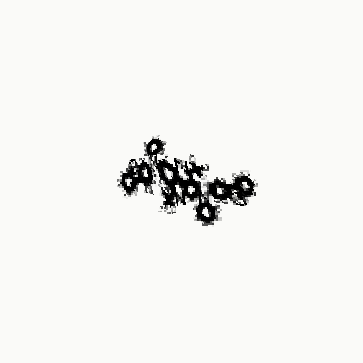 CC(C)(C)c1nc2cc(N(c3ccccc3)c3ccc4c(c3)oc3ccccc34)cc3c(C(C)(C)C)nc4cc(N(c5ccccc5)c5ccc6c(c5)oc5ccccc56)cc1c4c23